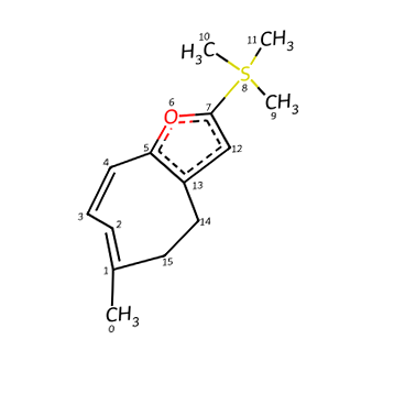 C/C1=C\C=C/c2oc(S(C)(C)C)cc2CC1